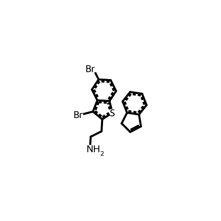 C1=Cc2ccccc2C1.NCCc1sc2ccc(Br)cc2c1Br